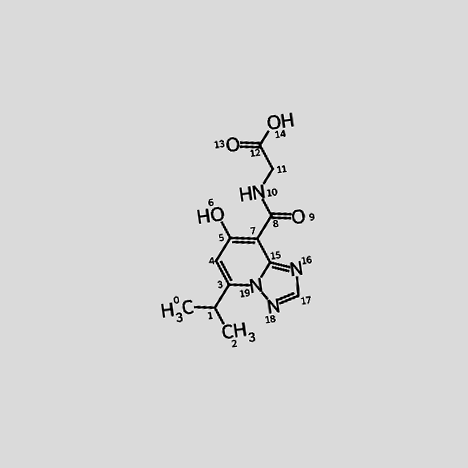 CC(C)c1cc(O)c(C(=O)NCC(=O)O)c2ncnn12